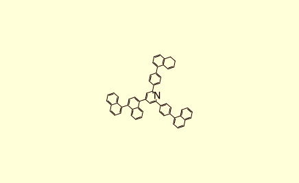 C1=Cc2c(cccc2-c2ccc(-c3cc(-c4ccc(-c5cccc6ccccc56)c5ccccc45)cc(-c4ccc(-c5cccc6ccccc56)cc4)n3)cc2)CC1